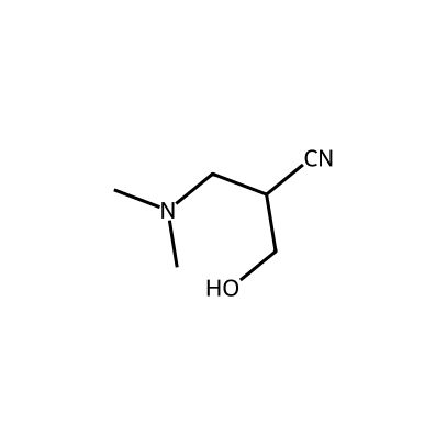 CN(C)CC(C#N)CO